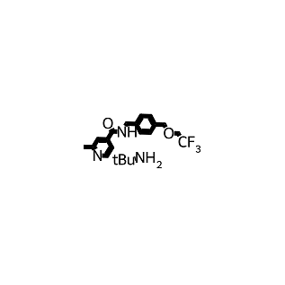 CC(C)(C)N.Cc1cc(C(=O)NCc2ccc(COCC(F)(F)F)cc2)ccn1